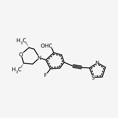 C[C@@H]1CN(c2c(F)cc(C#Cc3nccs3)cc2C=O)C[C@H](C)O1